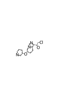 O=C(CCl)c1ncn2cc(Oc3cccnc3)ccc12